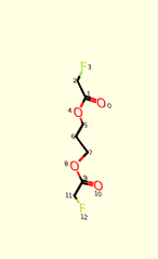 O=C(CF)OCCCOC(=O)CF